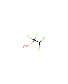 O=[S+]C(F)(F)C(F)F